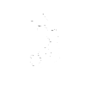 CCOC(=O)/C(C=N)=C1\N=C2C(=CN1)O[C@H]1CCC[C@H]1N2Cc1cc(F)cnc1O